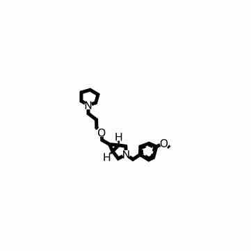 COc1ccc(CN2C[C@@H]3C(COCCCN4CCCCC4)[C@@H]3C2)cc1